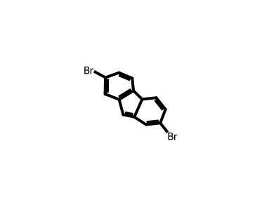 BrC1=CC2=Cc3cc(Br)ccc3C2C=C1